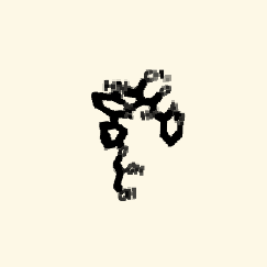 CC1NC2CCC(c3cccc(OC[C@H](O)CO)c3)=NN2C1C(=O)NC1CC=CN=N1